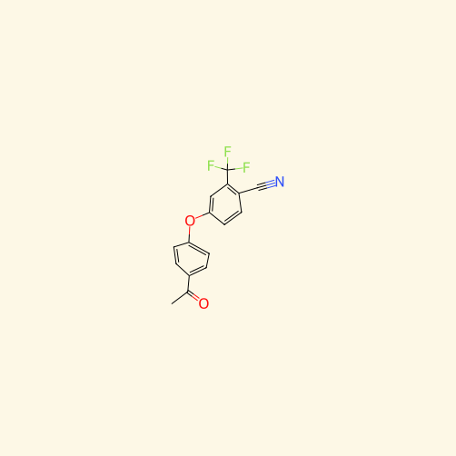 CC(=O)c1ccc(Oc2ccc(C#N)c(C(F)(F)F)c2)cc1